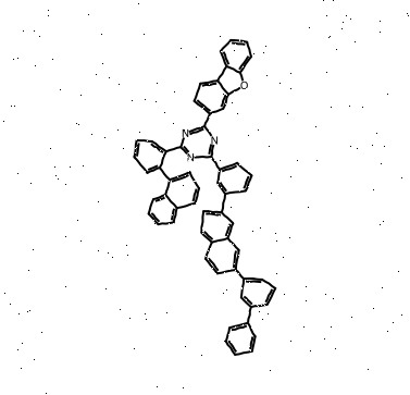 c1ccc(-c2cccc(-c3ccc4ccc(-c5cccc(-c6nc(-c7ccc8c(c7)oc7ccccc78)nc(-c7ccccc7-c7cccc8ccccc78)n6)c5)cc4c3)c2)cc1